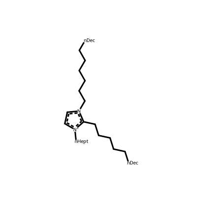 CCCCCCCCCCCCCCCCn1cc[n+](CCCCCCC)c1CCCCCCCCCCCCCCC